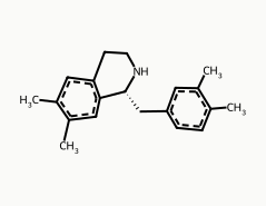 Cc1ccc(C[C@H]2NCCc3cc(C)c(C)cc32)cc1C